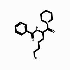 O=C(NC(CCCCO)C(=O)N1CCCCC1)c1ccccc1